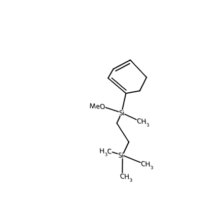 CO[Si](C)(CC[Si](C)(C)C)C1=CC=CCC1